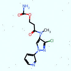 CN(C(=O)CCOC(N)=O)c1cn(-c2cccnc2)nc1Cl